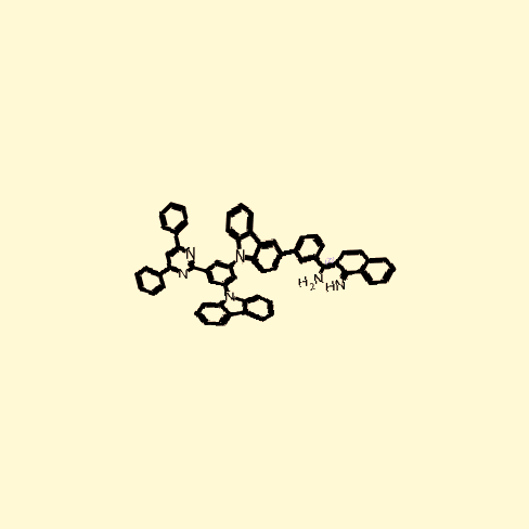 N=C1/C(=C(\N)c2cccc(-c3ccc4c(c3)c3ccccc3n4-c3cc(-c4nc(-c5ccccc5)cc(-c5ccccc5)n4)cc(-n4c5ccccc5c5ccccc54)c3)c2)C=Cc2ccccc21